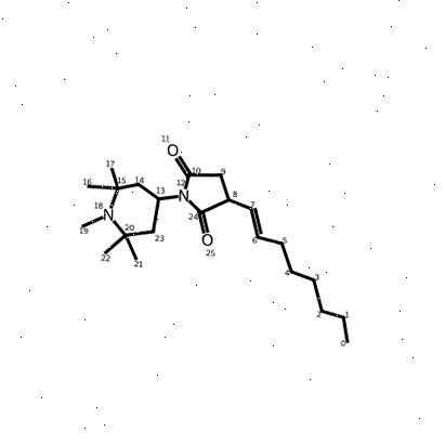 CCCCCCC=CC1CC(=O)N(C2CC(C)(C)N(C)C(C)(C)C2)C1=O